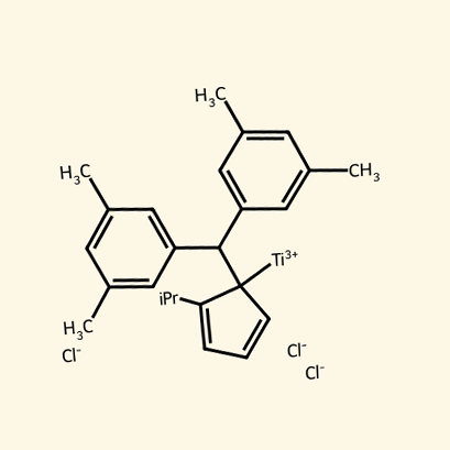 Cc1cc(C)cc(C(c2cc(C)cc(C)c2)[C]2([Ti+3])C=CC=C2C(C)C)c1.[Cl-].[Cl-].[Cl-]